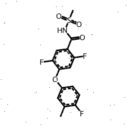 Cc1cc(Oc2cc(F)c(C(=O)NS(C)(=O)=O)cc2F)ccc1F